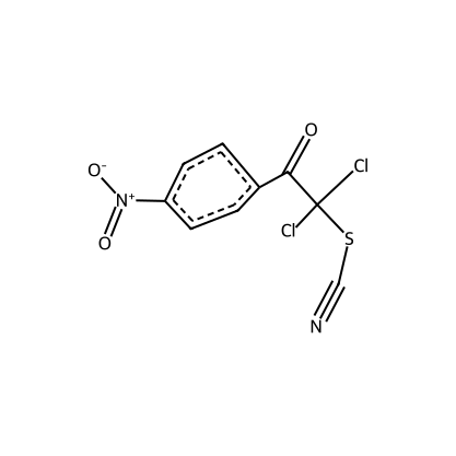 N#CSC(Cl)(Cl)C(=O)c1ccc([N+](=O)[O-])cc1